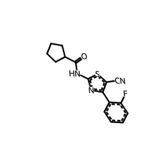 N#Cc1sc(NC(=O)C2CCCC2)nc1-c1ccccc1F